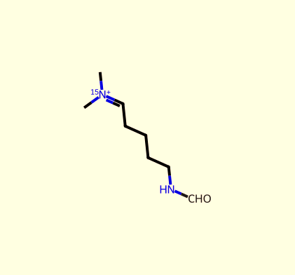 C[15N+](C)=CCCCCN[13CH]=O